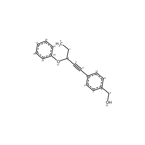 CCC(C#Cc1ccc(CO)cc1)Oc1ccccc1